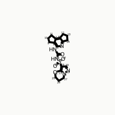 O=C(Nc1nc2c(c3c1CCC3)CCC2)NS(=O)(=O)c1cnn2c1OCCC2